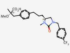 CO[C@@](C)(Cc1ccc(CCC[C@H]2CN(Cc3ccc(C(F)(F)F)cc3)C(=O)N2C)cc1)C(=O)O